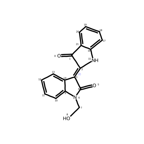 O=C1/C(=C2/C(=O)N(CO)c3ccccc32)Nc2ccccc21